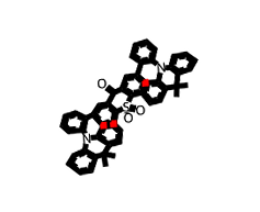 CC1(C)c2ccccc2N(c2ccccc2-c2ccc3c(c2)C(=O)c2cc(-c4ccccc4N4c5ccccc5C(C)(C)c5ccccc54)ccc2S3(=O)=O)c2ccccc21